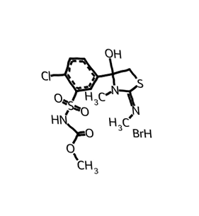 Br.CN=C1SCC(O)(c2ccc(Cl)c(S(=O)(=O)NC(=O)OC)c2)N1C